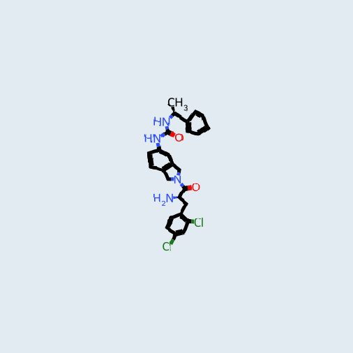 C[C@H](NC(=O)Nc1ccc2c(c1)CN(C(=O)[C@H](N)Cc1ccc(Cl)cc1Cl)C2)c1ccccc1